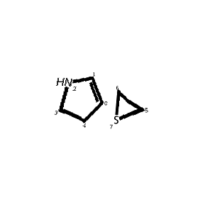 C1=CNCC1.C1CS1